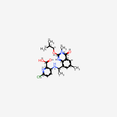 Cc1cc(C(C)Nc2ccc(Cl)nc2C(=O)O)c2nc(OCC(C)C)n(C)c(=O)c2c1